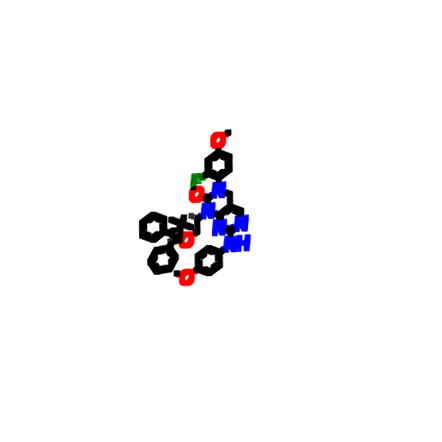 COc1ccc(Nc2ncc3c(n2)N([C@@H](C)CO[Si](c2ccccc2)(c2ccccc2)C(C)(C)C)C(=O)N(c2ccc(OC)cc2F)C3)cc1